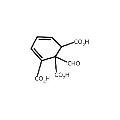 O=CC1(C(=O)O)C(C(=O)O)=CC=CC1C(=O)O